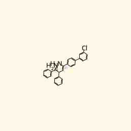 N/C(=C\C(c1ccccc1)[C@H](N)c1ccccc1)c1ccc(-c2cccc(Cl)c2)cc1